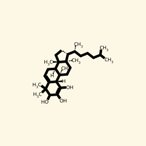 CC(C)CCC[C@@H](C)[C@H]1CC[C@@]2(C)[C@@H]3CC=C4[C@@H](C(O)=C(O)C(O)C4(C)C)[C@]3(C)CC[C@]12C